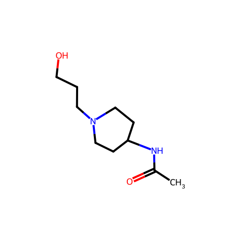 CC(=O)NC1CCN(CCCO)CC1